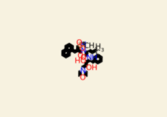 CCCC[C@H](NC(=O)C(Cc1cccc2ccccc12)CS(=O)(=O)CC)C(=O)N[C@@H](CC1CCCCC1)C(O)C(O)CN1CCOCC1